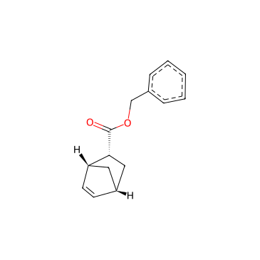 O=C(OCc1ccccc1)[C@@H]1C[C@@H]2C=C[C@H]1C2